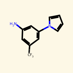 Nc1cc(-n2cccc2)cc(C(F)(F)F)c1